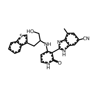 Cc1cc(C#N)cc2[nH]c(-c3c(NC(CO)Cc4csc5ccccc45)cc[nH]c3=O)nc12